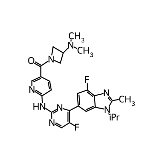 Cc1nc2c(F)cc(-c3nc(Nc4ccc(C(=O)N5CC(N(C)C)C5)cn4)ncc3F)cc2n1C(C)C